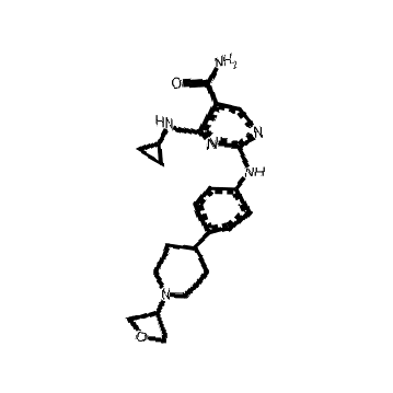 NC(=O)c1cnc(Nc2ccc(C3CCN(C4COC4)CC3)cc2)nc1NC1CC1